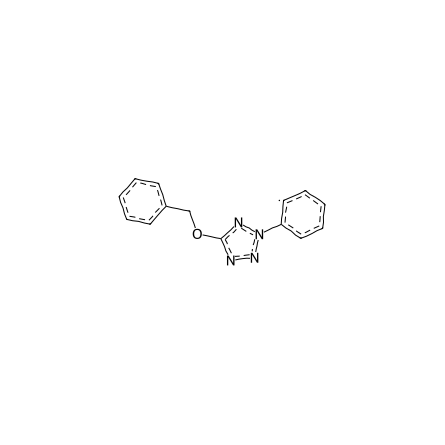 [c]1ccccc1-n1nnc(OCc2ccccc2)n1